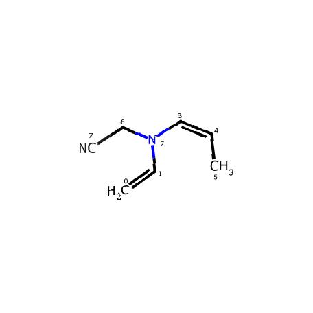 C=CN(/C=C\C)CC#N